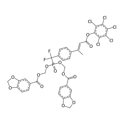 CC(=CC(=O)Oc1c(Cl)c(Cl)c(Cl)c(Cl)c1Cl)c1ccc(C(F)(F)P(=O)(OCOC(=O)c2ccc3c(c2)OCO3)OCOC(=O)c2ccc3c(c2)OCO3)cc1